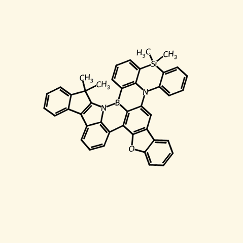 CC1(C)c2ccccc2-c2c1n1c3c(cccc23)-c2c3c(cc4c2oc2ccccc24)N2c4ccccc4[Si](C)(C)c4cccc(c42)B31